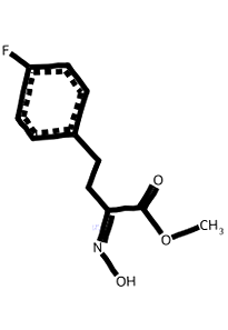 COC(=O)/C(CCc1ccc(F)cc1)=N\O